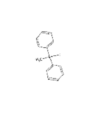 [C]C([CH2])(c1ccccc1)c1ccccc1